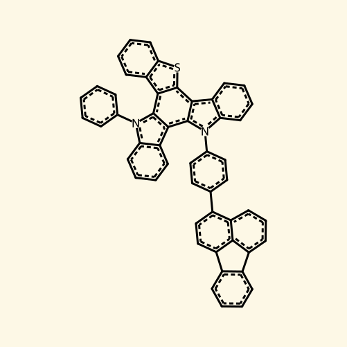 c1ccc(-n2c3ccccc3c3c4c(c5ccccc5n4-c4ccc(-c5ccc6c7c(cccc57)-c5ccccc5-6)cc4)c4sc5ccccc5c4c32)cc1